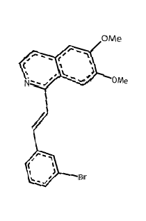 COc1cc2ccnc(C=Cc3cccc(Br)c3)c2cc1OC